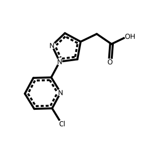 O=C(O)Cc1cnn(-c2cccc(Cl)n2)c1